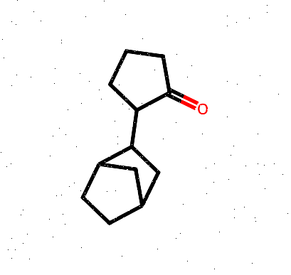 O=C1CCCC1C1CC2CCC1C2